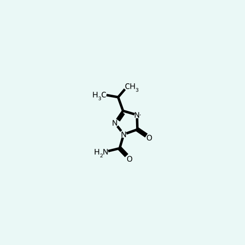 CC(C)C1=NN(C(N)=O)C(=O)[N]1